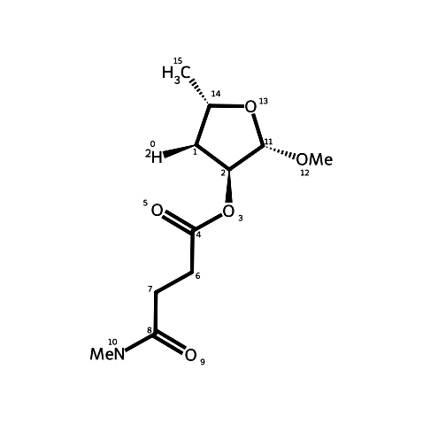 [2H][C@@H]1[C@H](OC(=O)CCC(=O)NC)[C@@H](OC)O[C@H]1C